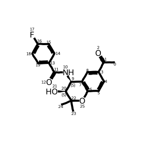 CC(=O)c1ccc2c(c1)[C@H](NC(=O)c1ccc(F)cc1)[C@H](O)C(C)(C)O2